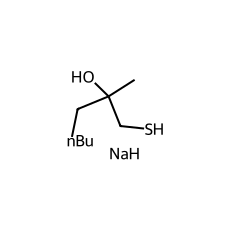 CCCCCC(C)(O)CS.[NaH]